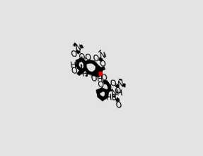 CC1=C2[C@@H](OC(=O)N(C)C)C(=O)[C@]3(C)[C@@H](OC(=O)N(C)C)C[C@H]4OC[C@@]4(C)[C@H]3[C@H](C)[C@](O)(C[C@@H]1OC(=O)[C@H](OC(=O)N(C)C)[C@@H](NBC=O)c1ccccc1)C2(C)C